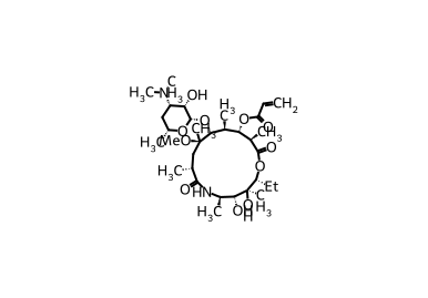 C=CC(=O)O[C@H]1[C@H](C)[C@@H](O[C@@H]2O[C@H](C)C[C@H](N(C)C)[C@@H]2O)[C@](C)(OC)C[C@@H](C)C(=O)N[C@H](C)[C@@H](O)[C@](C)(O)[C@@H](CC)OC(=O)[C@@H]1C